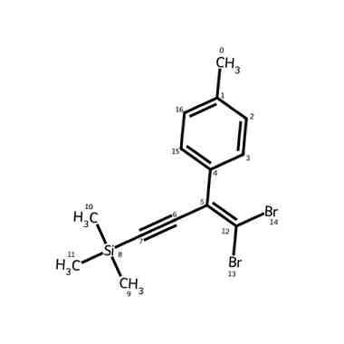 Cc1ccc(C(C#C[Si](C)(C)C)=C(Br)Br)cc1